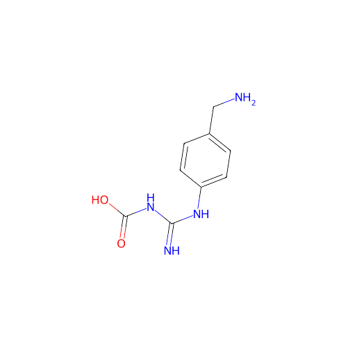 N=C(NC(=O)O)Nc1ccc(CN)cc1